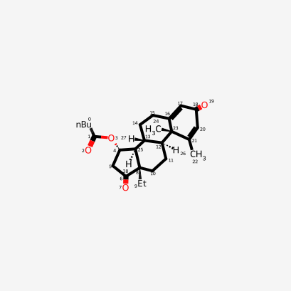 CCCCC(=O)O[C@H]1CC(=O)[C@@]2(CC)CC[C@H]3[C@@H](CCC4=CC(=O)C=C(C)[C@@]43C)[C@H]12